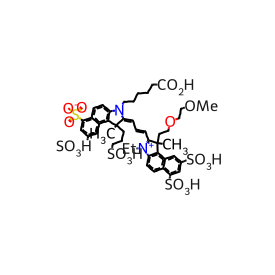 CC[N+]1=C(/C=C/C=C2/N(CCCCCC(=O)O)c3ccc4c(S(=O)(=O)[O-])cc(S(=O)(=O)O)cc4c3C2(C)CCCS(=O)(=O)O)C(C)(CCOCCOC)c2c1ccc1c(S(=O)(=O)O)cc(S(=O)(=O)O)cc21